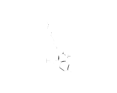 CCCCCCCCOc1c(O)c2ccc(C)cc2n(C)c1=O